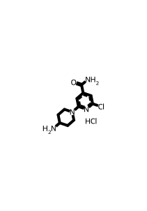 Cl.NC(=O)c1cc(Cl)nc(N2CCC(N)CC2)c1